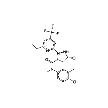 CCc1cc(C(F)(F)F)nc(N2NC(=O)CC2C(=O)N(C)c2ccc(Cl)c(C)c2)n1